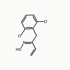 C=CC(Cc1c(Cl)cccc1Cl)=NO